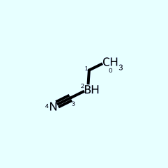 CCBC#N